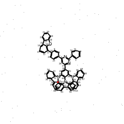 c1ccc(-c2nc(-c3ccc(-c4cccc5c4oc4ccccc45)cc3)cc(-c3cc(-n4c5ccccc5c5ccccc54)c(-n4c5ccccc5c5ccccc54)c(-n4c5ccccc5c5ccccc54)c3)n2)cc1